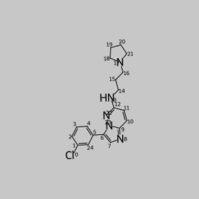 Clc1cccc(-c2cnc3ccc(NCCCN4CCCC4)nn23)c1